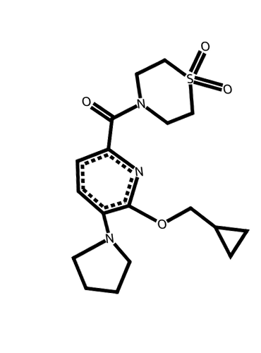 O=C(c1ccc(N2CCCC2)c(OCC2CC2)n1)N1CCS(=O)(=O)CC1